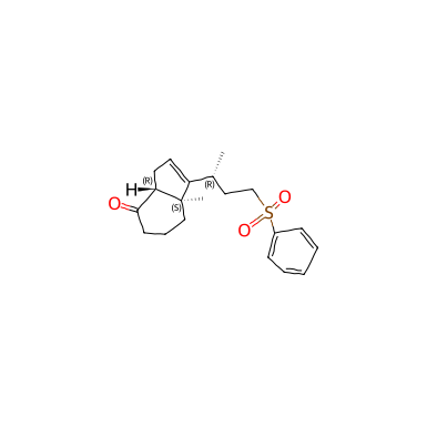 C[C@H](CCS(=O)(=O)c1ccccc1)C1=CC[C@H]2C(=O)CCC[C@]12C